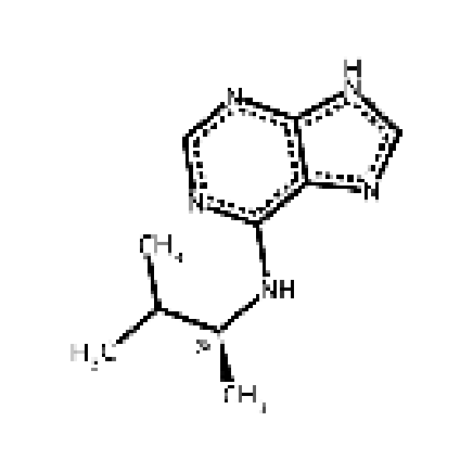 CC(C)[C@H](C)Nc1ncnc2[nH]cnc12